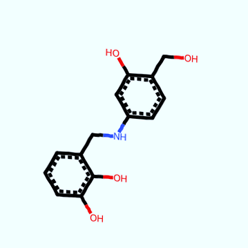 OCc1ccc(NCc2cccc(O)c2O)cc1O